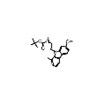 COc1ccc2c3ccnc(C)c3n(CCN(C)C(=O)OC(C)(C)C)c2c1